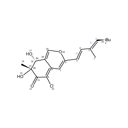 CC[C@H](C)/C=C(C)/C=C/C1=CC2=C(Cl)C(=O)[C@](C)(O)[C@H](O)C2=CO1